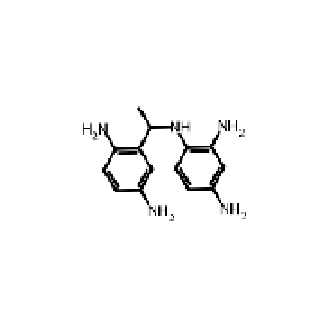 CC(Nc1ccc(N)cc1N)c1cc(N)ccc1N